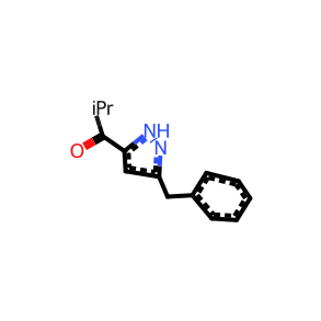 CC(C)C(=O)c1cc(Cc2ccccc2)n[nH]1